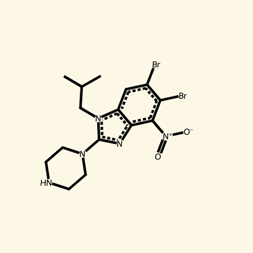 CC(C)Cn1c(N2CCNCC2)nc2c([N+](=O)[O-])c(Br)c(Br)cc21